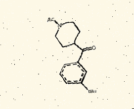 CC(=O)N1CCC(C(=O)c2cccc(C(C)(C)C)c2)CC1